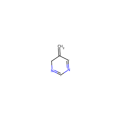 C=C1[C]=N[C]=NC1